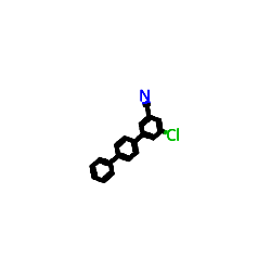 N#Cc1cc(Cl)cc(-c2ccc(-c3ccccc3)cc2)c1